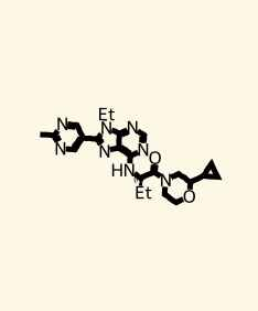 CC[C@@H](Nc1ncnc2c1nc(-c1cnc(C)nc1)n2CC)C(=O)N1CCOC(C2CC2)C1